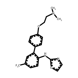 CN(C)CCOc1ccc(-c2cc(C(F)(F)F)ccc2Nc2ncco2)cc1